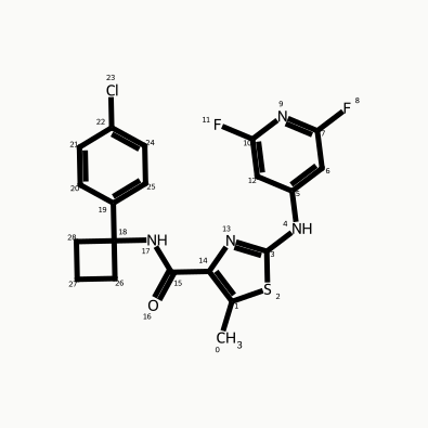 Cc1sc(Nc2cc(F)nc(F)c2)nc1C(=O)NC1(c2ccc(Cl)cc2)CCC1